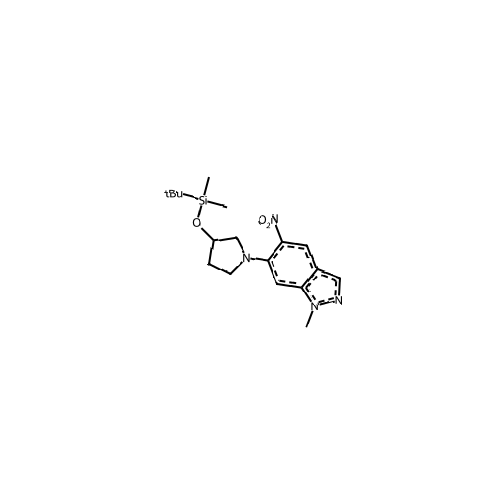 Cn1ncc2cc([N+](=O)[O-])c(N3CCC(O[Si](C)(C)C(C)(C)C)C3)cc21